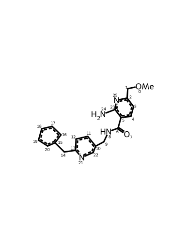 COCc1ccc(C(=O)NCc2ccc(Cc3ccccc3)nc2)c(N)n1